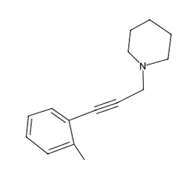 Cc1ccccc1C#CCN1CCCCC1